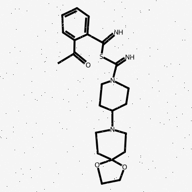 CC(=O)c1ccccc1C(=N)SC(=N)N1CCC(N2CCC3(CC2)OCCO3)CC1